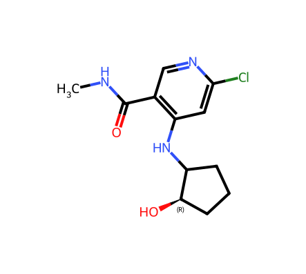 CNC(=O)c1cnc(Cl)cc1NC1CCC[C@H]1O